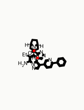 CCc1c([C@H]2C[C@H]3CC[C@@H](C2)N3C(=O)c2nnc[nH]2)nc2c(-c3ccc(-c4ccccc4)nc3)cnn2c1N